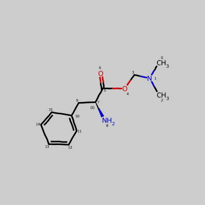 CN(C)COC(=O)[C@@H](N)Cc1ccccc1